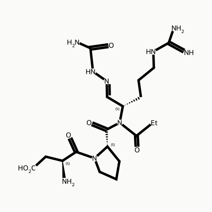 CCC(=O)N(C(=O)[C@@H]1CCCN1C(=O)[C@@H](N)CC(=O)O)[C@H](C=NNC(N)=O)CCCNC(=N)N